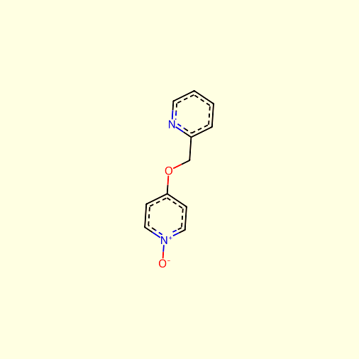 [O-][n+]1ccc(OCc2ccccn2)cc1